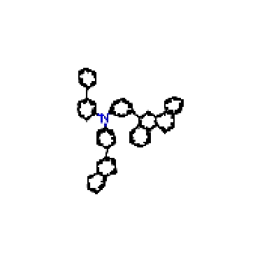 c1ccc(-c2cccc(N(c3ccc(-c4ccc5ccccc5c4)cc3)c3cccc(-c4cc5c6ccccc6ccc5c5ccccc45)c3)c2)cc1